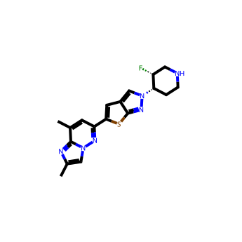 Cc1cn2nc(-c3cc4cn([C@H]5CCNC[C@H]5F)nc4s3)cc(C)c2n1